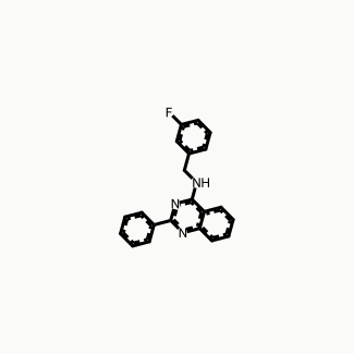 Fc1cccc(CNc2nc(-c3ccccc3)nc3ccccc23)c1